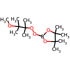 COC(C)(C)C(C)(C)OOB1OC(C)(C)C(C)(C)O1